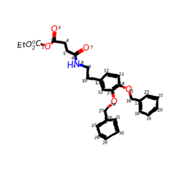 CCOC(=O)OC(=O)CCC(=O)NCCc1ccc(OCc2ccccc2)c(OCc2ccccc2)c1